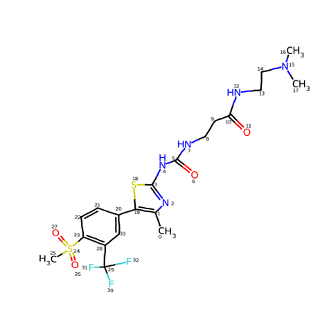 Cc1nc(NC(=O)NCCC(=O)NCCN(C)C)sc1-c1ccc(S(C)(=O)=O)c(C(F)(F)F)c1